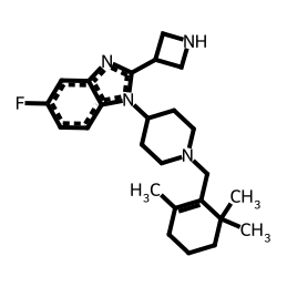 CC1=C(CN2CCC(n3c(C4CNC4)nc4cc(F)ccc43)CC2)C(C)(C)CCC1